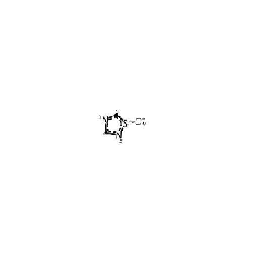 [O-][s+]1cncn1